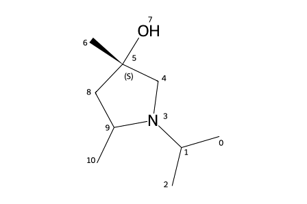 CC(C)N1C[C@@](C)(O)CC1C